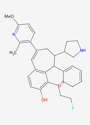 COc1ccc(C2=Cc3ccc(O)c(CCCF)c3C(C3=CC=CCC3=O)C(C3CCNC3)C2)c(C)n1